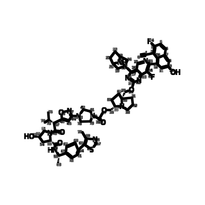 C#Cc1c(F)ccc2cc(O)cc(-c3ncc4c(N5CC6CCC(C5)N6)nc(OC[C@]56CCCN5[C@H](COC(=O)N5CCN(c7cc([C@H](C(=O)N8C[C@H](O)C[C@H]8C(=O)N[C@@H](C)c8ccc(-c9scnc9C)cc8)C(C)C)on7)CC5)CC6)nc4c3F)c12